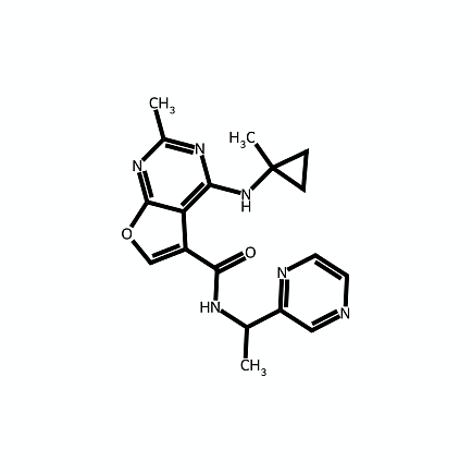 Cc1nc(NC2(C)CC2)c2c(C(=O)NC(C)c3cnccn3)coc2n1